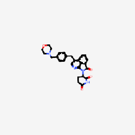 O=C1CCC(N2C(=O)c3cccc4c(Cc5ccc(CN6CCOCC6)cc5)cnc2c34)C(=O)N1